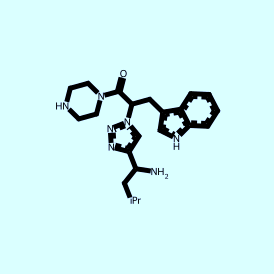 CC(C)CC(N)c1cn(C(Cc2c[nH]c3ccccc23)C(=O)N2CCNCC2)nn1